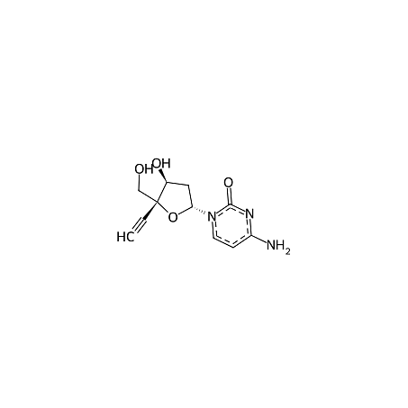 C#C[C@]1(CO)O[C@@H](n2ccc(N)nc2=O)C[C@@H]1O